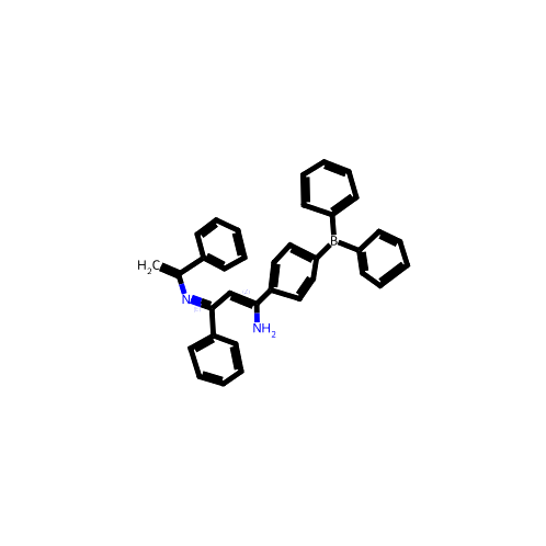 C=C(/N=C(\C=C(/N)c1ccc(B(c2ccccc2)c2ccccc2)cc1)c1ccccc1)c1ccccc1